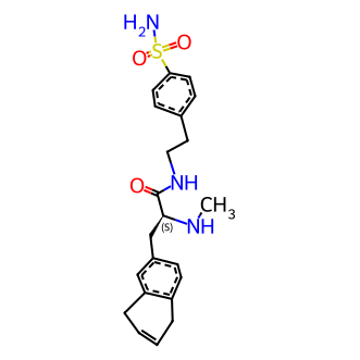 CN[C@@H](Cc1ccc2c(c1)CC=CC2)C(=O)NCCc1ccc(S(N)(=O)=O)cc1